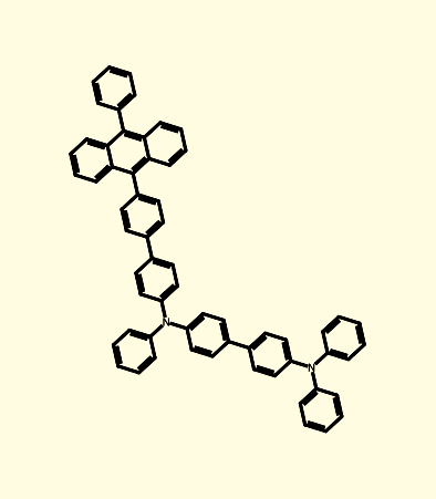 c1ccc(-c2c3ccccc3c(-c3ccc(-c4ccc(N(c5ccccc5)c5ccc(-c6ccc(N(c7ccccc7)c7ccccc7)cc6)cc5)cc4)cc3)c3ccccc23)cc1